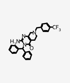 Nc1nc2c(c(=O)n1C(c1ccccc1)c1ccccc1)CCN(Cc1ccc(C(F)(F)F)cc1)C2